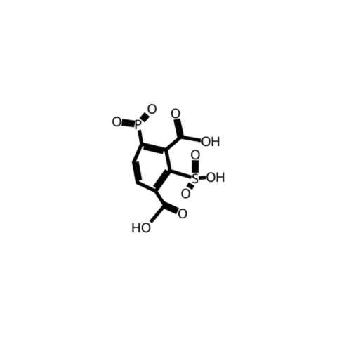 O=C(O)c1ccc(P(=O)=O)c(C(=O)O)c1S(=O)(=O)O